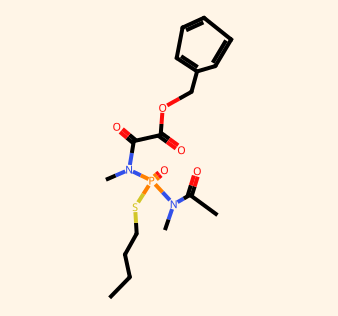 CCCCSP(=O)(N(C)C(C)=O)N(C)C(=O)C(=O)OCc1ccccc1